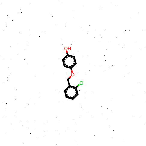 Oc1ccc(OCc2ccccc2Cl)cc1